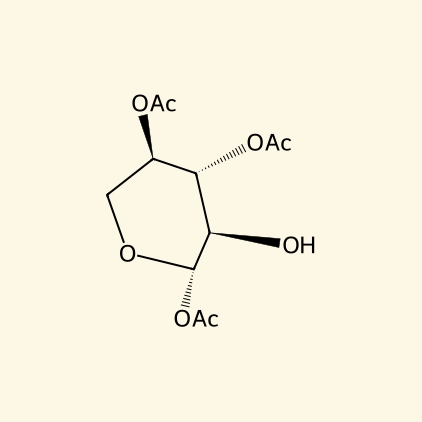 CC(=O)O[C@@H]1OC[C@@H](OC(C)=O)[C@H](OC(C)=O)[C@H]1O